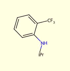 CC(C)Nc1ccccc1C(F)(F)F